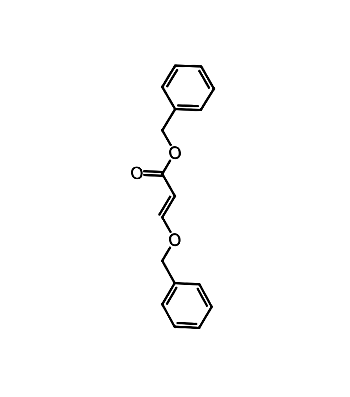 O=C(/C=C/OCc1ccccc1)OCc1ccccc1